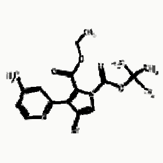 CCOC(=O)c1c(-c2cc(C)ccn2)c(Br)cn1C(=O)OC(C)(C)C